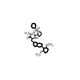 COC(=O)C(Cc1ccc2cc(-c3c(OC)cccc3OC)ccc2c1)NC(=O)[C@@H]1CCCN1S(=O)(=O)c1ccccc1